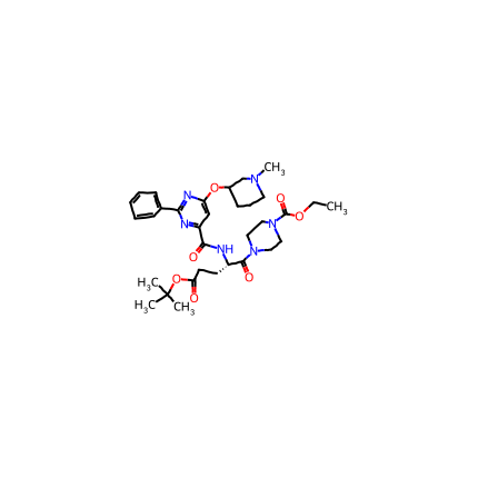 CCOC(=O)N1CCN(C(=O)[C@H](CCC(=O)OC(C)(C)C)NC(=O)c2cc(OC3CCCN(C)C3)nc(-c3ccccc3)n2)CC1